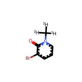 [2H]C([2H])([2H])n1cccc(Br)c1=O